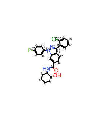 O=C(NC1CCCCC1O)c1ccc2c(-c3ccccc3Cl)nn(-c3ccc(F)cc3)c2c1